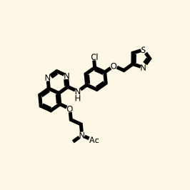 CC(=O)N(C)CCOc1cccc2ncnc(Nc3ccc(OCc4cscn4)c(Cl)c3)c12